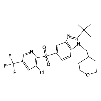 CC(C)(C)c1nc2cc(S(=O)(=O)c3ncc(C(F)(F)F)cc3Cl)ccc2n1CC1CCOCC1